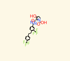 O=C(O)N1CC[C@H](O)[C@H]1c1nc(-c2ccc(CCc3ccc(C(F)(F)F)cc3)c(C(F)(F)F)c2)no1